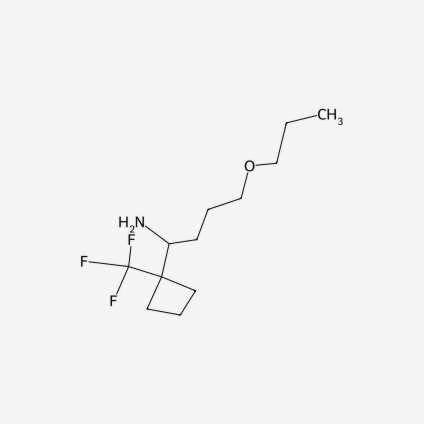 CCCOCCCC(N)C1(C(F)(F)F)CCC1